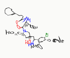 COc1cc(OC)c(C(=N)C[C@@]2(O)C[C@@H](C(=O)O)N(C(=O)[C@@H](NC(=O)CC3CCCCCC3)C(C)(C)C)C2)cc1Cl